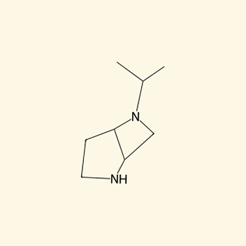 CC(C)N1CC2NCCC21